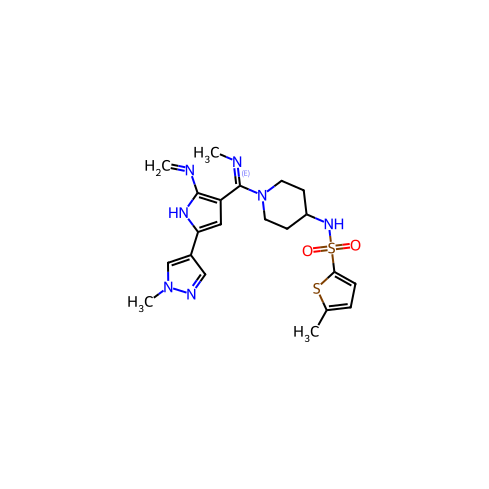 C=Nc1[nH]c(-c2cnn(C)c2)cc1/C(=N\C)N1CCC(NS(=O)(=O)c2ccc(C)s2)CC1